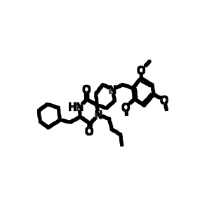 CCCCN1C(=O)C(CC2CCCCC2)NC(=O)C12CCN(Cc1c(OC)cc(OC)cc1OC)CC2